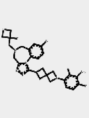 Fc1ccc(N2CC3(CC(c4nnc5n4-c4ccc(Cl)cc4CN(CC4(F)COC4)C5)C3)C2)c(F)c1C(F)(F)F